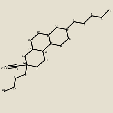 CCCCCC1CCC2C(CCC3CC(C#N)(CCCC)CCC32)C1